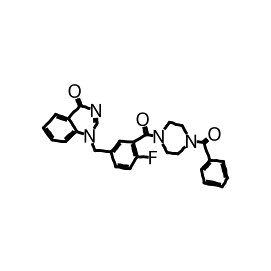 O=C(c1ccccc1)N1CCN(C(=O)c2cc(Cn3cnc(=O)c4ccccc43)ccc2F)CC1